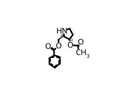 CC(=O)O[C@H]1CCN[C@@H]1COC(=O)c1ccccc1